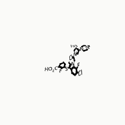 Cc1c(Sc2cccc(C(=O)O)c2F)c2ccc(Cl)c(F)c2n1CC(=O)N1C[C@H](O)[C@@H](N2CCN(C)CC2)C1